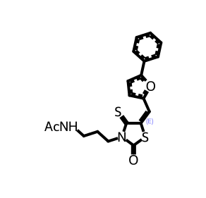 CC(=O)NCCCN1C(=O)S/C(=C/c2ccc(-c3ccccc3)o2)C1=S